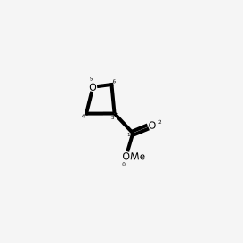 COC(=O)[C]1COC1